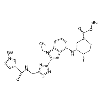 CC(C)(C)OC(=O)N1CC[C@H](F)[C@H](Nc2cccc3c2cc(-c2noc(CNC(=O)c4ccn(C(C)(C)C)c4)n2)n3CC(F)(F)F)C1